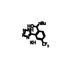 CCCCC(O)c1ccc(C(F)(F)F)cc1-c1nnn[nH]1.[KH]